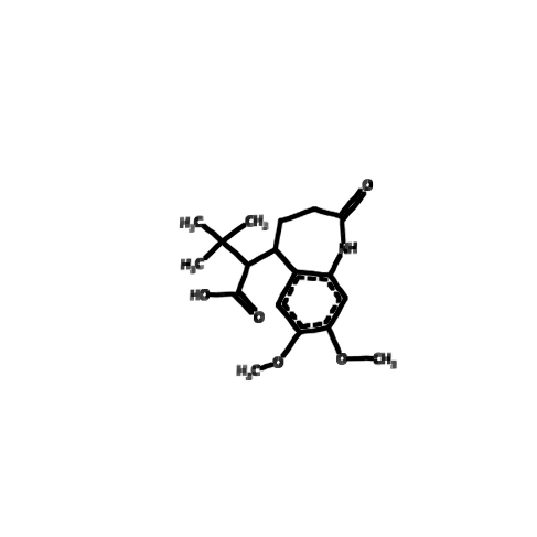 COc1cc2c(cc1OC)C(C(C(=O)O)C(C)(C)C)CCC(=O)N2